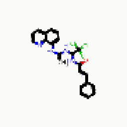 C=C(Nc1cccc2cccnc12)NC(NC(=O)/C=C/c1ccccc1)C(Cl)(Cl)Cl